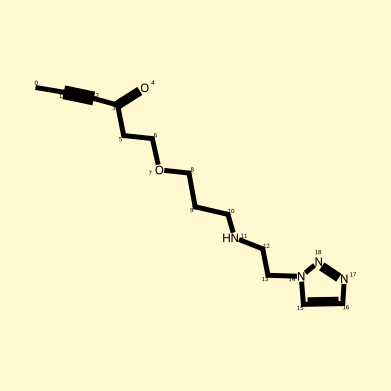 CC#CC(=O)CCOCCCNCCn1ccnn1